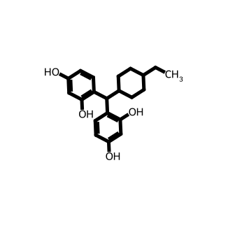 CCC1CCC(C(c2ccc(O)cc2O)c2ccc(O)cc2O)CC1